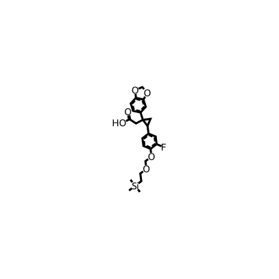 C[Si](C)(C)CCOCOc1ccc(C2CC2(CC(=O)O)c2ccc3c(c2)OCO3)cc1F